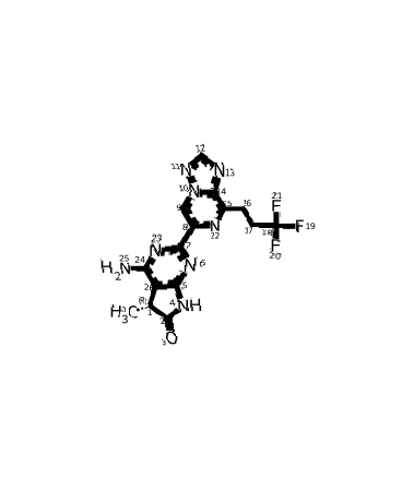 C[C@H]1C(=O)Nc2nc(-c3cn4ncnc4c(CCC(F)(F)F)n3)nc(N)c21